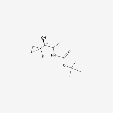 CC(NC(=O)OC(C)(C)C)[C@H](O)C1(F)CC1